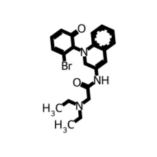 CCN(CC)CC(=O)NC1=Cc2ccccc2N(C2C(=O)C=CC=C2Br)C1